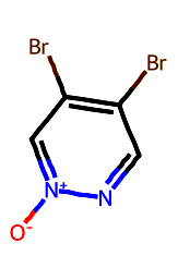 [O-][n+]1cc(Br)c(Br)cn1